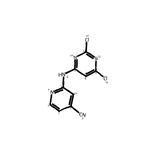 N#Cc1ccnc(Nc2cc(Cl)nc(Cl)n2)c1